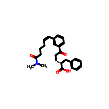 CN(C)C(=O)CCC/C=C\c1cccc(C(=O)CC[C@H](Cc2ccccc2)C(=O)O)c1